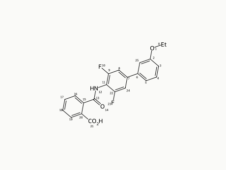 CCOc1cccc(-c2cc(F)c(NC(=O)c3ccccc3C(=O)O)c(F)c2)c1